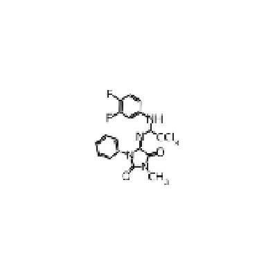 CN1C(=O)C(=NC(Nc2ccc(F)c(F)c2)C(Cl)(Cl)Cl)N(c2ccccc2)C1=O